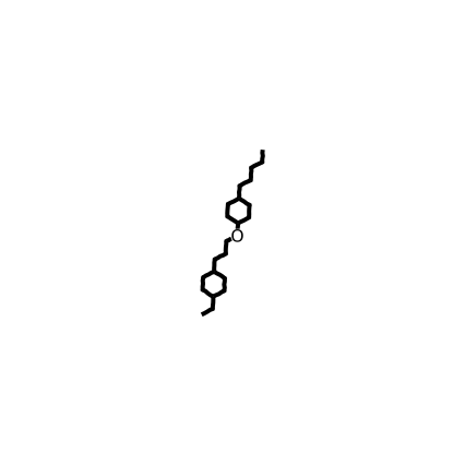 CCCCCC1CCC(OCCCC2CCC(CC)CC2)CC1